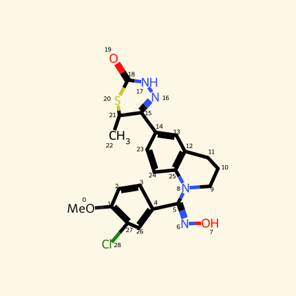 COc1ccc(/C(=N/O)N2CCCc3cc(C4=NNC(=O)SC4C)ccc32)cc1Cl